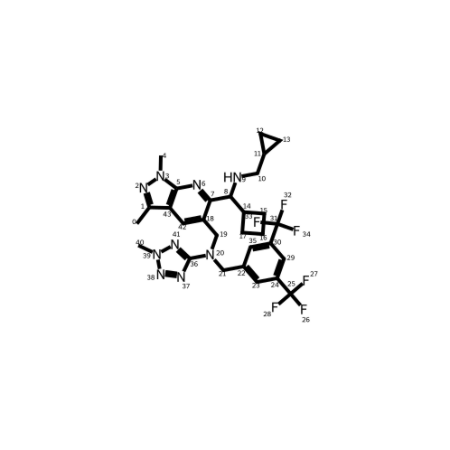 Cc1nn(C)c2nc(C(NCC3CC3)C3CCC3)c(CN(Cc3cc(C(F)(F)F)cc(C(F)(F)F)c3)c3nnn(C)n3)cc12